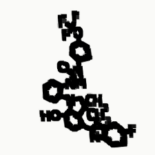 CC1(C)CN(c2ccccc2NC(=O)Nc2ccc(OC(F)(F)F)cc2)c2c(O)ccc(-c3nc4ccc(F)cc4s3)c21